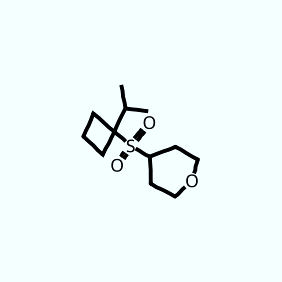 CC(C)C1(S(=O)(=O)C2CCOCC2)CCC1